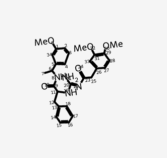 COc1cccc(C(C)NC(=O)C(Cc2ccccc2)NC(N)=NC(=O)Cc2ccc(OC)c(OC)c2)c1